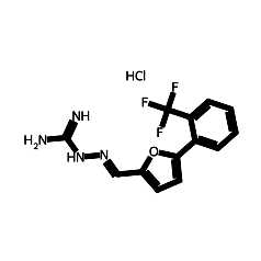 Cl.N=C(N)NN=Cc1ccc(-c2ccccc2C(F)(F)F)o1